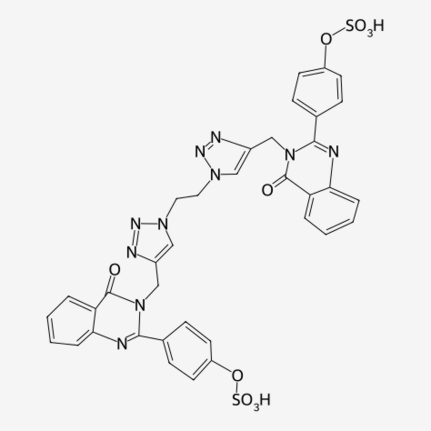 O=c1c2ccccc2nc(-c2ccc(OS(=O)(=O)O)cc2)n1Cc1cn(CCn2cc(Cn3c(-c4ccc(OS(=O)(=O)O)cc4)nc4ccccc4c3=O)nn2)nn1